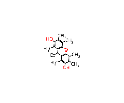 CCC1c2c(C)c(O)c(C)c(C)c2Oc2c(C)c(C)c(O)c(C)c21